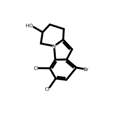 OC1CCc2cc3c(Br)cc(Cl)c(Cl)c3n2C1